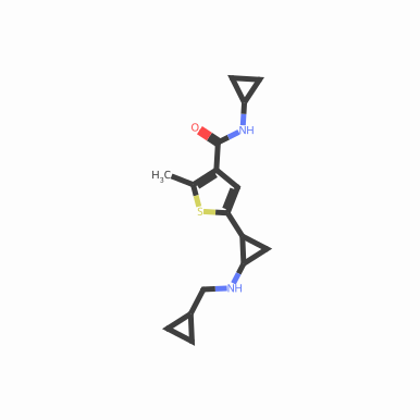 Cc1sc(C2CC2NCC2CC2)cc1C(=O)NC1CC1